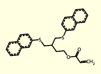 C=CC(=O)OC[CH]C(CSc1ccc2ccccc2c1)CSc1ccc2ccccc2c1